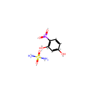 NS(N)(=O)=O.O=I(=O)c1ccc(O)cc1O